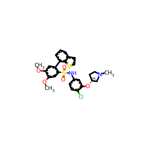 COc1cc(-c2cccc3ccsc23)c(S(=O)(=O)Nc2ccc(Cl)c(O[C@@H]3CCN(C)C3)c2)cc1OC